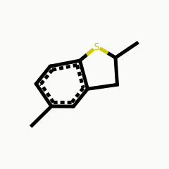 Cc1ccc2c(c1)CC(C)S2